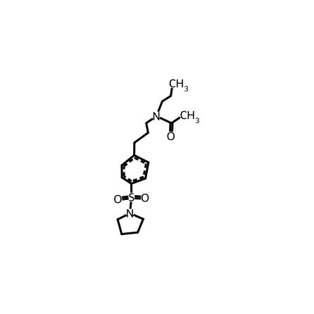 CCCN(CCCc1ccc(S(=O)(=O)N2CCCC2)cc1)C(C)=O